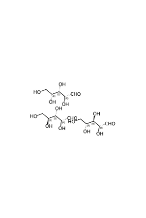 O=C[C@H](O)[C@@H](O)[C@@H](O)CO.O=C[C@H](O)[C@@H](O)[C@H](O)CO.O=C[C@H](O)[C@H](O)[C@H](O)CO